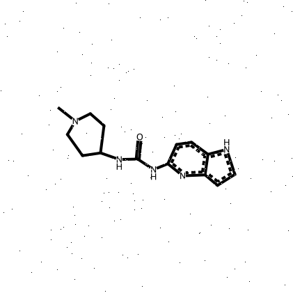 CN1CCC(NC(=O)Nc2ccc3[nH]ccc3n2)CC1